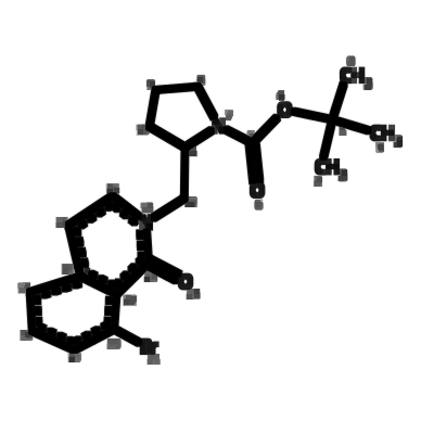 CC(C)(C)OC(=O)N1CCCC1Cn1ccc2cccc(Br)c2c1=O